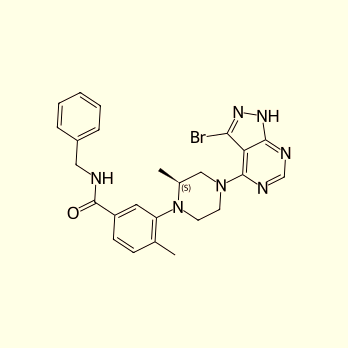 Cc1ccc(C(=O)NCc2ccccc2)cc1N1CCN(c2ncnc3[nH]nc(Br)c23)C[C@@H]1C